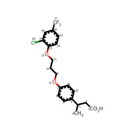 CC(CC(=O)O)c1ccc(OCCCOc2ccc(C(F)(F)F)cc2Cl)cc1